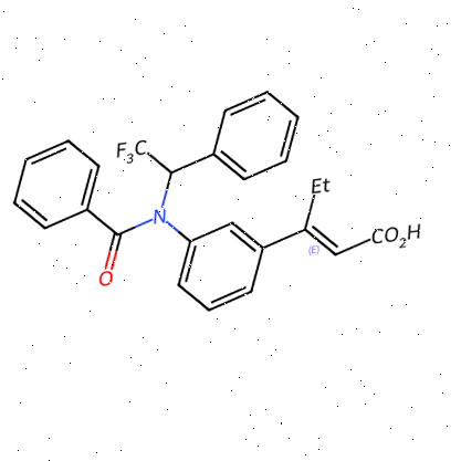 CC/C(=C\C(=O)O)c1cccc(N(C(=O)c2ccccc2)C(c2ccccc2)C(F)(F)F)c1